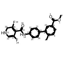 COC(=O)c1ccc(C)c(-c2ccc(NC(=O)C3=C(F)CNC=C3F)cc2)c1